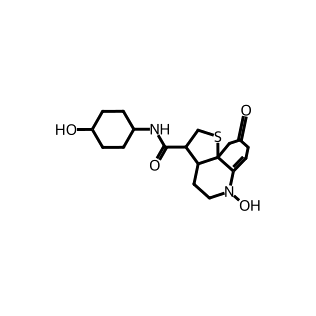 O=C1CC=C2N(O)CCC3C(C(=O)NC4CCC(O)CC4)CSC23C1